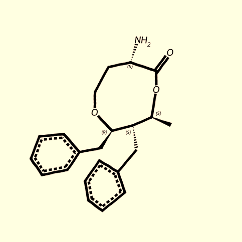 C[C@@H]1OC(=O)[C@@H](N)CCO[C@H](Cc2ccccc2)[C@H]1Cc1ccccc1